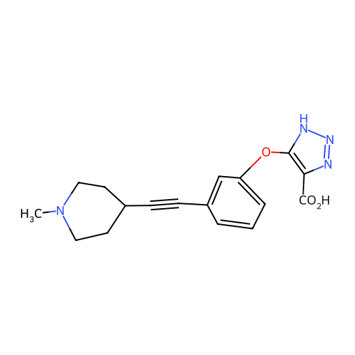 CN1CCC(C#Cc2cccc(Oc3[nH]nnc3C(=O)O)c2)CC1